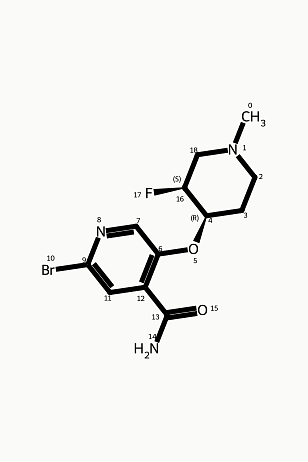 CN1CC[C@@H](Oc2cnc(Br)cc2C(N)=O)[C@@H](F)C1